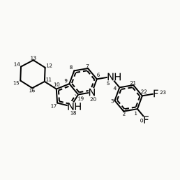 Fc1ccc(Nc2ccc3c(C4CCCCC4)c[nH]c3n2)cc1F